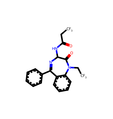 O=C(CC(F)(F)F)NC1N=C(c2ccccc2)c2ccccc2N(CC(F)(F)F)C1=O